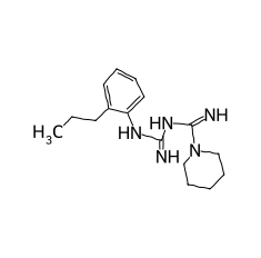 CCCc1ccccc1NC(=N)NC(=N)N1CCCCC1